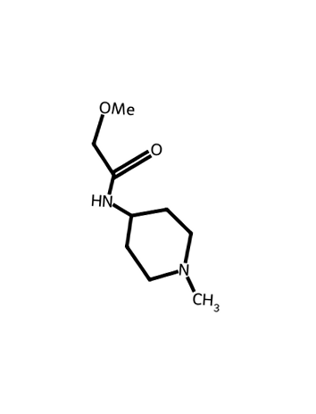 COCC(=O)NC1CCN(C)CC1